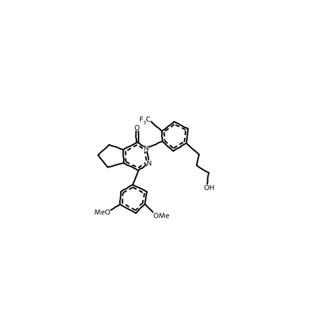 COc1cc(OC)cc(-c2nn(-c3cc(CCCO)ccc3C(F)(F)F)c(=O)c3c2CCC3)c1